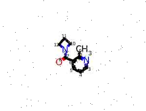 Cc1nc[c]cc1C(=O)N1CCC1